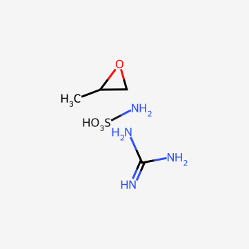 CC1CO1.N=C(N)N.NS(=O)(=O)O